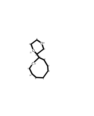 C1CCCCC(C2COCCO2)CCC1